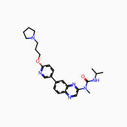 CC(C)NC(=O)N(C)c1cnc2ccc(-c3ccc(OCCCN4CCCC4)nc3)cc2n1